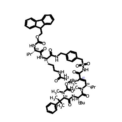 C/C(=C\[C@H](C(C)C)N(C)C(=O)[C@@H](NC(=O)[C@@H](N(C)C(=O)OC(C)(C)C)C(C)(C)c1ccccc1)C(C)(C)C)C(=O)NS(=O)(=O)Cc1ccc(CNC(=O)[C@H](CCCNC(N)=O)NC(=O)[C@@H](NC(=O)OCC2c3ccccc3-c3ccccc32)C(C)C)cc1